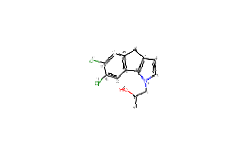 CC(O)Cn1ccc2c1-c1cc(Cl)c(Cl)cc1C2